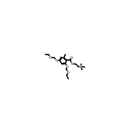 CCOCOc1cc(C)c(C(=O)OCC[Si](C)(C)C)c(OCOCC)c1